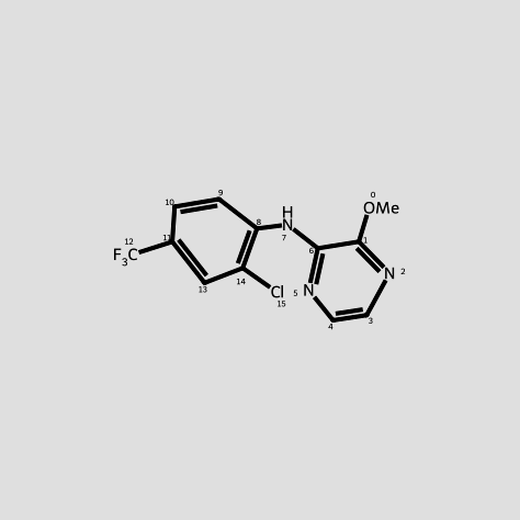 COc1nccnc1Nc1ccc(C(F)(F)F)cc1Cl